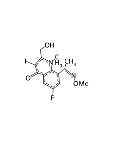 CO/N=C(/C)c1cc(F)cc2c(=O)c(I)c(CO)n(C)c12